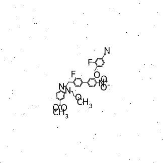 COCCn1c(Cc2ccc(-c3ccc([N+](=O)[O-])c(OCc4ccc(C#N)cc4F)c3)cc2F)nc2ccc(C(=O)OC)cc21